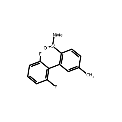 CN[S+]([O-])c1ccc(C)cc1-c1c(F)cccc1F